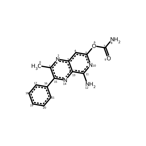 Cc1nc2cc(OC(N)=O)nc(N)c2nc1-c1ccccc1